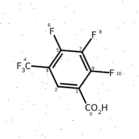 O=C(O)c1cc(C(F)(F)F)c(F)c(F)c1F